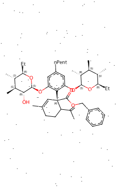 C=C(C)C1CCC(C)=C[C@@]1(C(=O)OCc1ccccc1)c1c(O[C@@H]2O[C@H](CC)[C@@H](C)[C@H](C)[C@H]2C)cc(CCCCC)cc1O[C@@H]1O[C@H](CC)[C@@H](C)[C@H](C)[C@H]1O